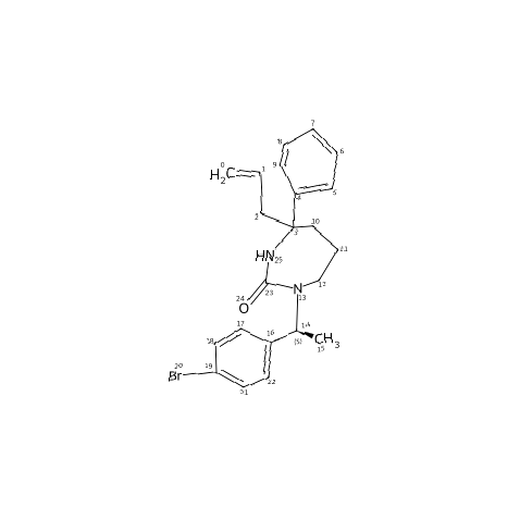 C=CCC1(c2ccccc2)CCCN([C@@H](C)c2ccc(Br)cc2)C(=O)N1